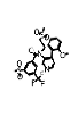 COc1ccccc1-c1ccncc1N(CCS(C)(=O)=O)C(=O)c1cc(C(F)(F)F)cc(S(C)(=O)=O)c1